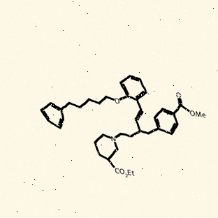 CCOC(=O)C1CCCN(CCC(/C=C/c2ccccc2OCCCCCc2ccccc2)Cc2ccc(C(=O)OC)cc2)C1